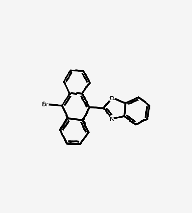 Brc1c2ccccc2c(-c2nc3ccccc3o2)c2ccccc12